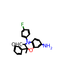 CC1(c2ccccc2)Oc2cc(N)ccc2N(c2ccc(F)cc2)C1C=O